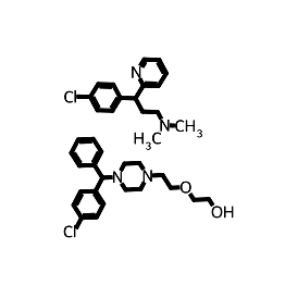 CN(C)CCC(c1ccc(Cl)cc1)c1ccccn1.OCCOCCN1CCN(C(c2ccccc2)c2ccc(Cl)cc2)CC1